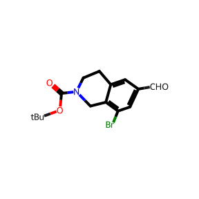 CC(C)(C)OC(=O)N1CCc2cc(C=O)cc(Br)c2C1